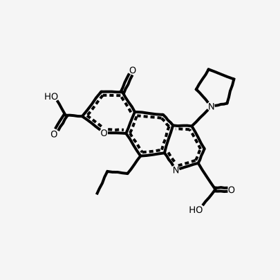 CCCc1c2nc(C(=O)O)cc(N3CCCC3)c2cc2c(=O)cc(C(=O)O)oc12